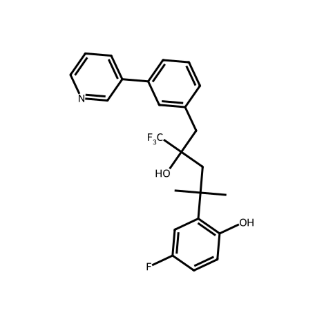 CC(C)(CC(O)(Cc1cccc(-c2cccnc2)c1)C(F)(F)F)c1cc(F)ccc1O